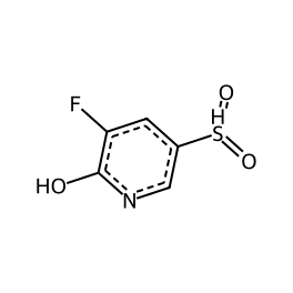 O=[SH](=O)c1cnc(O)c(F)c1